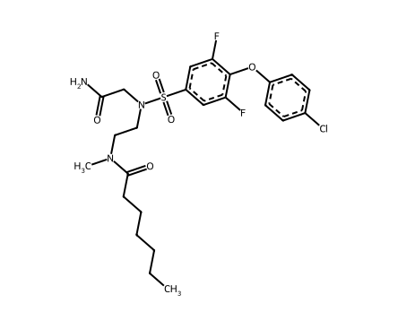 CCCCCCC(=O)N(C)CCN(CC(N)=O)S(=O)(=O)c1cc(F)c(Oc2ccc(Cl)cc2)c(F)c1